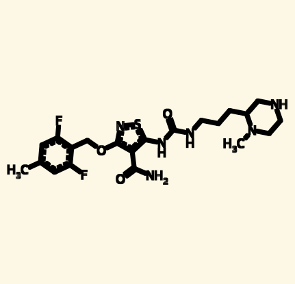 Cc1cc(F)c(COc2nsc(NC(=O)NCCCC3CNCCN3C)c2C(N)=O)c(F)c1